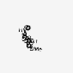 COc1ccc2c(c1)C(=O)N(C(=O)C1(C(=O)O)Cc3cc(NC4CCCCO4)sc3CO1)C2